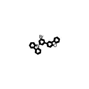 Brc1cc(-c2ccc3oc4ccccc4c3c2)cc(-n2c3ccccc3c3ccccc32)c1